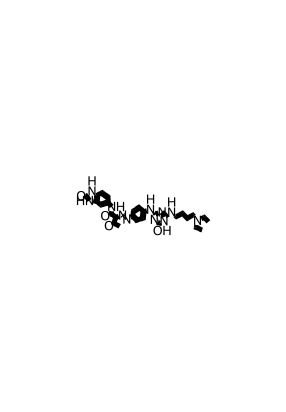 CCN(CC)CCCCNc1nc(O)nc(Nc2ccc(N=NC(C(C)=O)C(=O)Nc3ccc4[nH]c(=O)[nH]c4c3)cc2)n1